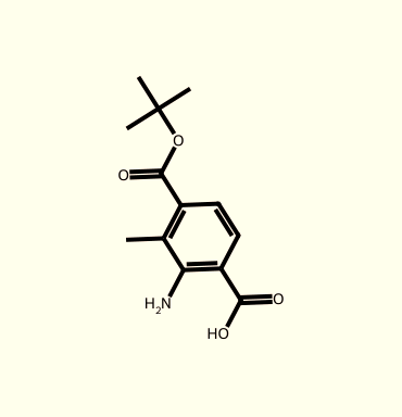 Cc1c(C(=O)OC(C)(C)C)ccc(C(=O)O)c1N